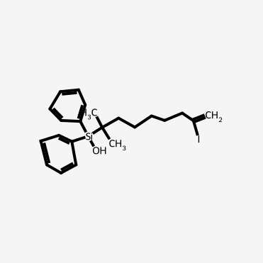 C=C(I)CCCCCC(C)(C)[Si](O)(c1ccccc1)c1ccccc1